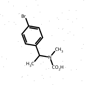 CC(c1ccc(Br)cc1)N(C)C(=O)O